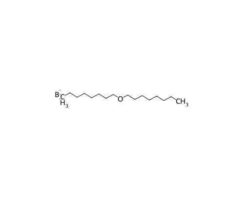 CCCCCCCCOCCCCCCCC.[B]